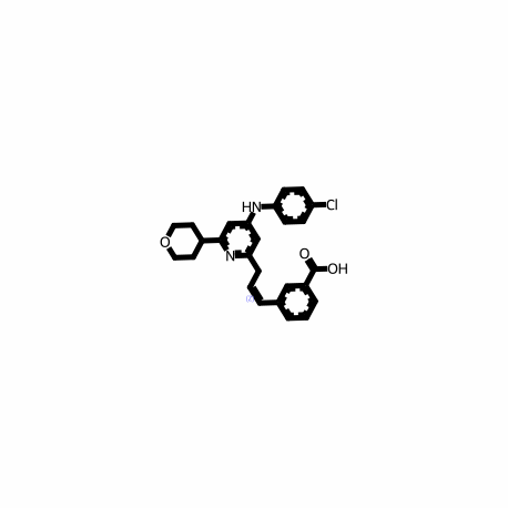 O=C(O)c1cccc(/C=C\Cc2cc(Nc3ccc(Cl)cc3)cc(C3CCOCC3)n2)c1